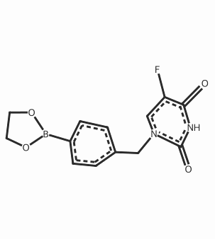 O=c1[nH]c(=O)n(Cc2ccc(B3OCCO3)cc2)cc1F